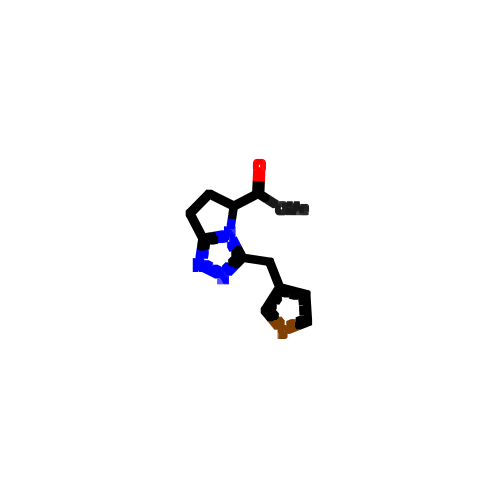 COC(=O)C1CCc2nnc(Cc3ccsc3)n21